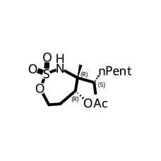 CCCCC[C@H](C)[C@@]1(C)NS(=O)(=O)OCC[C@H]1OC(C)=O